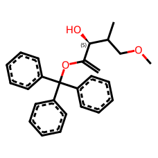 C=C(OC(c1ccccc1)(c1ccccc1)c1ccccc1)[C@@H](O)C(C)COC